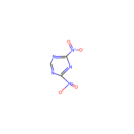 O=[N+]([O-])c1ncnc([N+](=O)[O-])n1